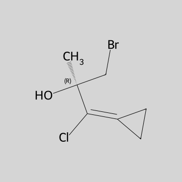 C[C@](O)(CBr)C(Cl)=C1CC1